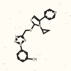 N#Cc1cccc(-n2nnc(CSC3SC=C(c4ccncc4)N3C3CC3)n2)c1